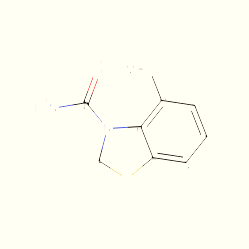 COc1cccc2c1N(C(N)=O)[CH]S2